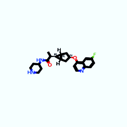 CC(C(=O)NC1CCNCC1)[C@H]1[C@@H]2C[C@@H](Oc3ccnc4ccc(F)cc34)C[C@@H]21